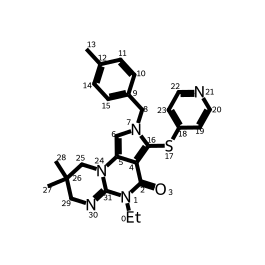 CCN1C(=O)c2c(cn(Cc3ccc(C)cc3)c2Sc2ccncc2)N2CC(C)(C)CN=C12